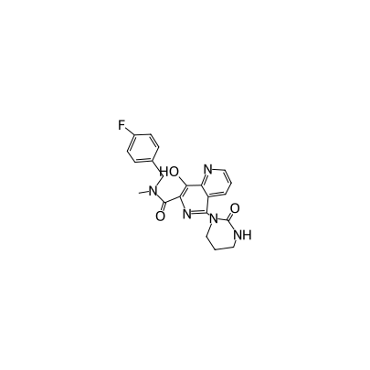 CN(Cc1ccc(F)cc1)C(=O)c1nc(N2CCCNC2=O)c2cccnc2c1O